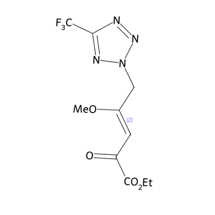 CCOC(=O)C(=O)/C=C(/Cn1nnc(C(F)(F)F)n1)OC